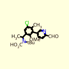 COc1c(C(C)N(C(=O)O)C(C)(C)C)cc(Cl)c(C)c1-c1ccc(C=O)nc1